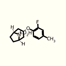 Cc1ccc(O[C@@H]2C[C@H]3CC[C@@H](C2)N3C(=O)O)c(F)c1